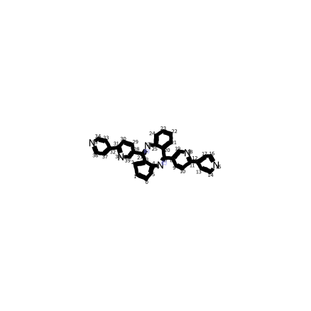 c1ccc2c(c1)/N=C(/c1ccc(-c3ccncc3)nc1)c1ccccc1/N=C\2c1ccc(-c2ccncc2)nc1